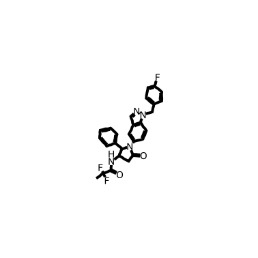 CC(F)(F)C(=O)NC1CC(=O)N(c2ccc3c(cnn3Cc3ccc(F)cc3)c2)C1c1ccccc1